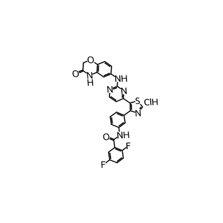 Cl.O=C1COc2ccc(Nc3nccc(-c4scnc4-c4cccc(NC(=O)c5cc(F)ccc5F)c4)n3)cc2N1